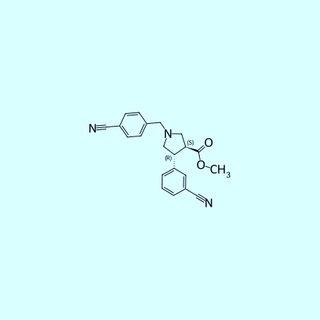 COC(=O)[C@@H]1CN(Cc2ccc(C#N)cc2)C[C@H]1c1cccc(C#N)c1